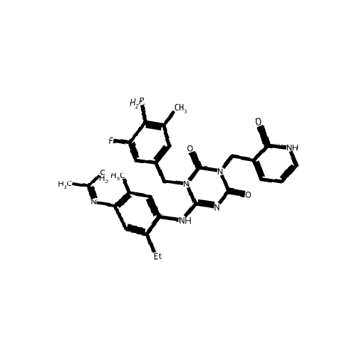 CCc1cc(N=C(C)C)c(C)cc1Nc1nc(=O)n(Cc2ccc[nH]c2=O)c(=O)n1Cc1cc(C)c(P)c(F)c1